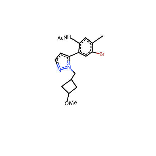 COC1CC(Cn2nccc2-c2cc(Br)c(C)cc2NC(C)=O)C1